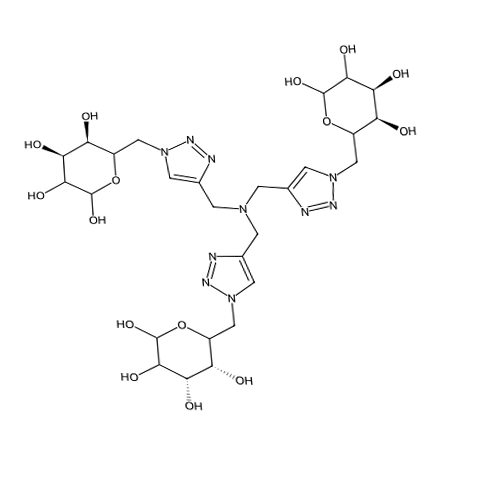 OC1OC(Cn2cc(CN(Cc3cn(CC4OC(O)C(O)[C@@H](O)[C@H]4O)nn3)Cc3cn(CC4OC(O)C(O)[C@@H](O)[C@H]4O)nn3)nn2)[C@H](O)[C@H](O)C1O